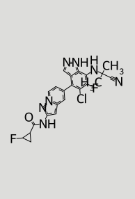 CC(C)(C#N)Nc1c(F)c(Cl)c(-c2ccn3nc(NC(=O)C4CC4F)cc3c2)c2cn[nH]c12